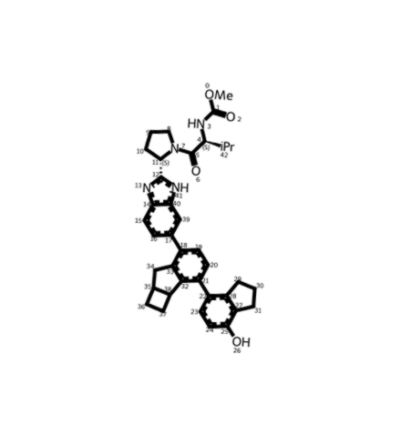 COC(=O)N[C@H](C(=O)N1CCC[C@H]1c1nc2ccc(-c3ccc(-c4ccc(O)c5c4CCC5)c4c3CC3CCC43)cc2[nH]1)C(C)C